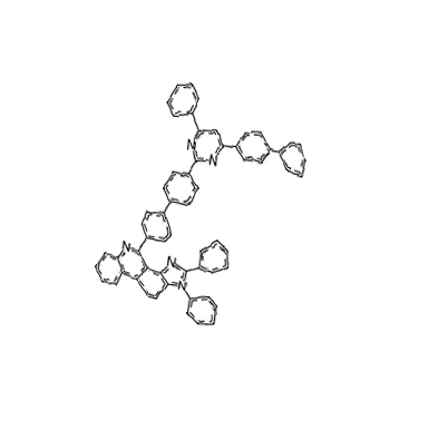 c1ccc(-c2ccc(-c3cc(-c4ccccc4)nc(-c4ccc(-c5ccc(-c6nc7ccccc7c7ccc8c(nc(-c9ccccc9)n8-c8ccccc8)c67)cc5)cc4)n3)cc2)cc1